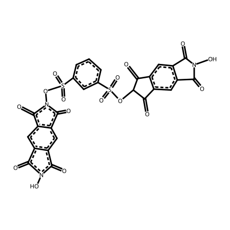 O=C1c2cc3c(cc2C(=O)C1OS(=O)(=O)c1cccc(S(=O)(=O)On2c(=O)c4cc5c(=O)n(O)c(=O)c5cc4c2=O)c1)C(=O)N(O)C3=O